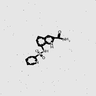 NC(=O)c1cc2cccc(NS(=O)(=O)c3ccccn3)c2[nH]1